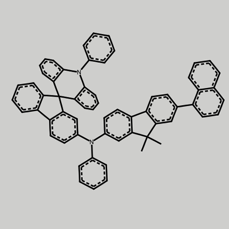 CC1(C)c2cc(-c3cccc4ccccc34)ccc2-c2ccc(N(c3ccccc3)c3ccc4c(c3)C3(c5ccccc5-4)c4ccccc4N(c4ccccc4)c4ccccc43)cc21